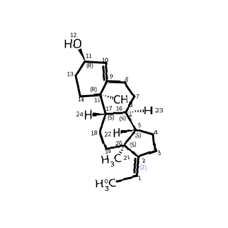 C/C=C1/CC[C@H]2[C@@H]3CCC4=C[C@H](O)CC[C@]4(C)[C@H]3CC[C@]12C